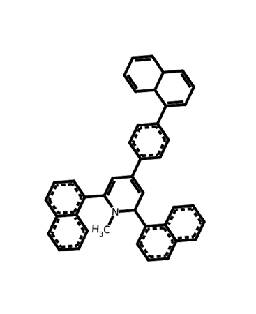 CN1C(c2cccc3ccccc23)=CC(c2ccc(C3=CC=CC4C=CC=CC34)cc2)=CC1c1cccc2ccccc12